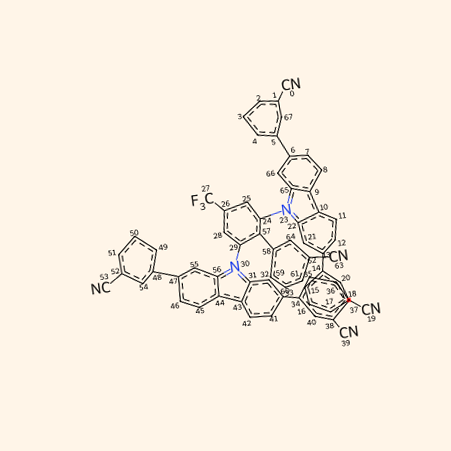 N#Cc1cccc(-c2ccc3c4ccc(-c5cccc(C#N)c5)cc4n(-c4cc(C(F)(F)F)cc(-n5c6cc(-c7cccc(C#N)c7)ccc6c6ccc(-c7cccc(C#N)c7)cc65)c4-c4cccc(C#N)c4)c3c2)c1